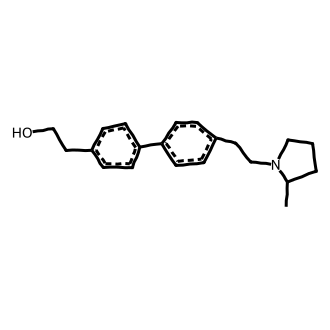 CC1CCCN1CCc1ccc(-c2ccc(CCO)cc2)cc1